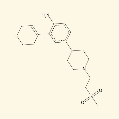 CS(=O)(=O)CCN1CCC(c2ccc(N)c(C3=CCCCC3)c2)CC1